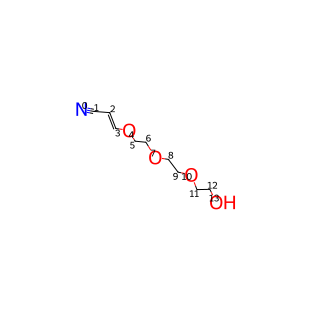 N#CC=COCCOCCOCCO